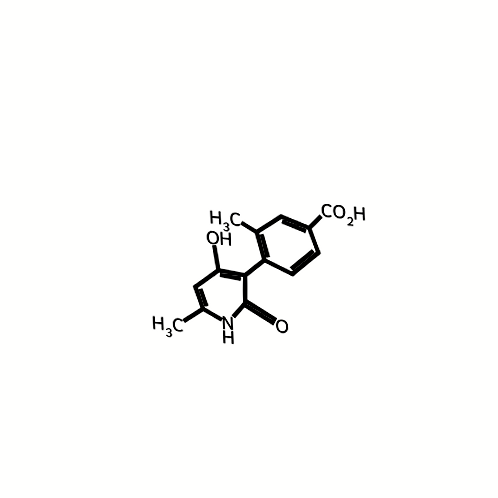 Cc1cc(O)c(-c2ccc(C(=O)O)cc2C)c(=O)[nH]1